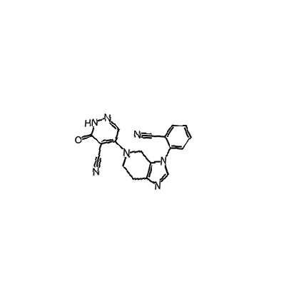 N#Cc1ccccc1-n1cnc2c1CN(c1cn[nH]c(=O)c1C#N)CC2